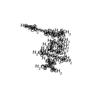 C=C(C)C(=O)OCC(CC)(COC(=O)C(=C)C)COC(=O)C(=C)C.C=C(C)C(=O)OCCC(C)OC(=O)C(=C)C.C=C(C)C(=O)OCCCCCCOC(=O)C(=C)C.C=C(C)C(=O)OCCOC(=O)C(=C)C.C=C(C)C(=O)OCCOCCOCCOCCOC(=O)C(=C)C.C=CC(=O)OCC(COC(=O)C=C)(COC(=O)C=C)COC(=O)C=C.OCCO